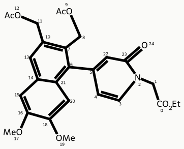 CCOC(=O)Cn1ccc(-c2c(COC(C)=O)c(COC(C)=O)cc3cc(OC)c(OC)cc23)cc1=O